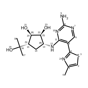 Cc1csc(-c2cnc(N)nc2N[C@@H]2C[C@H](C(C)(C)O)[C@@H](O)[C@H]2O)n1